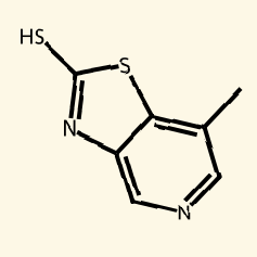 Cc1cncc2nc(S)sc12